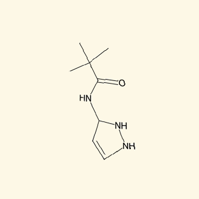 CC(C)(C)C(=O)NC1C=CNN1